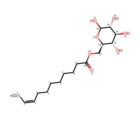 CCCCCCCC/C=C\CCCCCCCC(=O)OC[C@H]1OC(O)[C@H](O)[C@@H](O)[C@@H]1O